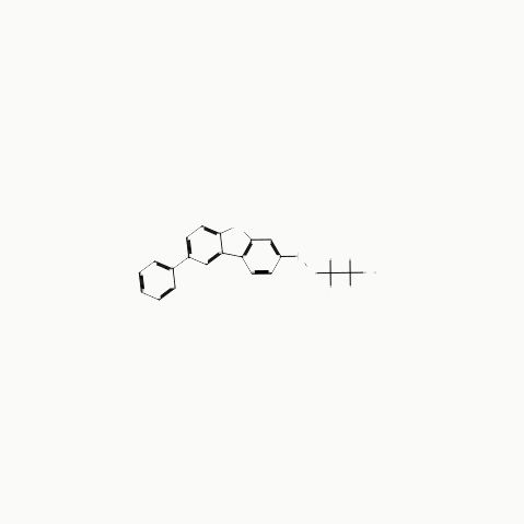 CC(C)(O)C(C)(C)OBc1ccc2c(c1)oc1ccc(-c3ccccc3)cc12